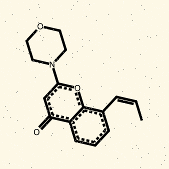 C/C=C\c1cccc2c(=O)cc(N3CCOCC3)oc12